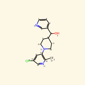 OC(c1cccnc1)C1CCN(c2cc(Cl)cnc2C(F)(F)F)CC1